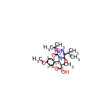 COc1ccc(C(C(C)C(=O)O)N(C(=O)OC(C)C)C(=O)[C@@H](N)C(C)C)cc1